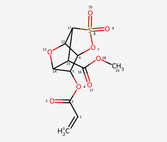 C=CC(=O)OC1C2OS(=O)(=O)C3C2OC1C3C(=O)OC